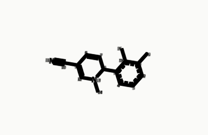 Cc1cccc(C2C=CC(C#N)=CN2C)c1C